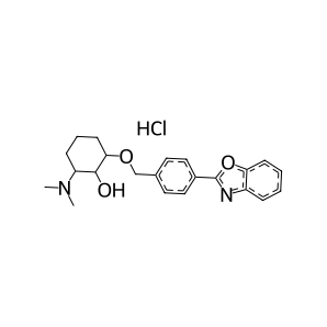 CN(C)C1CCCC(OCc2ccc(-c3nc4ccccc4o3)cc2)C1O.Cl